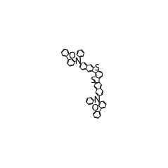 c1ccc(N(c2ccc3cc4c(cc3c2)sc2c4ccc3sc4cc5cc(N(c6ccccc6)c6cccc7c6oc6ccccc67)ccc5cc4c32)c2cccc3c2oc2ccccc23)cc1